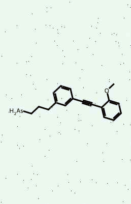 COc1ccccc1C#Cc1cccc(CCC[AsH2])c1